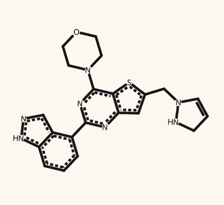 C1=CN(Cc2cc3nc(-c4cccc5[nH]ncc45)nc(N4CCOCC4)c3s2)NC1